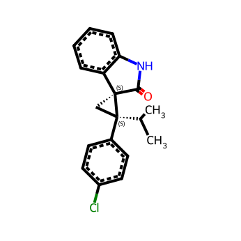 CC(C)[C@]1(c2ccc(Cl)cc2)C[C@]12C(=O)Nc1ccccc12